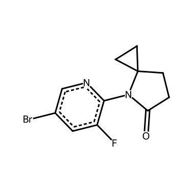 O=C1CCC2(CC2)N1c1ncc(Br)cc1F